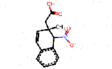 CC1(CC(=O)O)C=Cc2ccccc2C1[N+](=O)[O-]